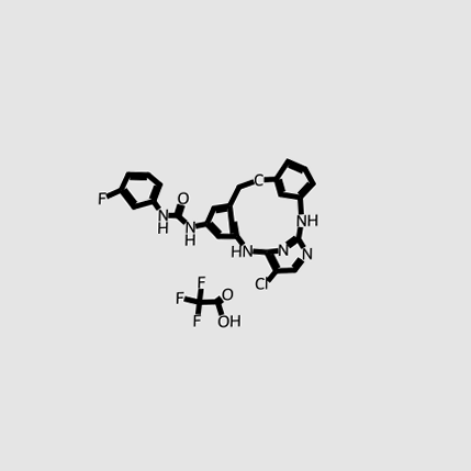 O=C(Nc1cccc(F)c1)Nc1cc2cc(c1)Nc1nc(ncc1Cl)Nc1cccc(c1)CC2.O=C(O)C(F)(F)F